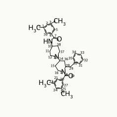 Cc1cc(C)cc(C(=O)NC2CCN(C3CCN(C(=O)c4cc(C)cc(C)c4)C(Cc4ccccc4)C3)CC2)c1